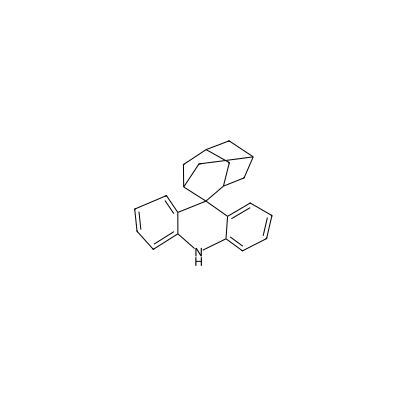 c1ccc2c(c1)Nc1ccccc1C21C2CC3CC(C2)CC1C3